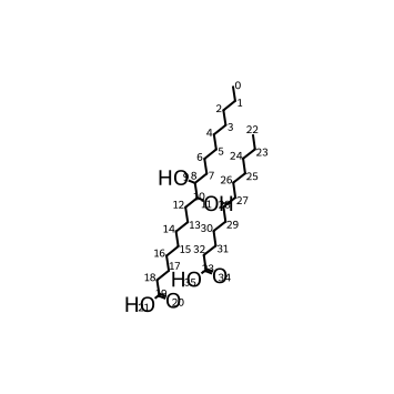 CCCCCCCCC(O)C(O)CCCCCCCC(=O)O.CCCCCCCCCCCC(=O)O